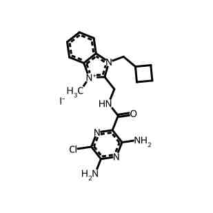 C[n+]1c(CNC(=O)c2nc(Cl)c(N)nc2N)n(CC2CCC2)c2ccccc21.[I-]